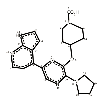 O=C(O)N1CCC(Oc2nc(-c3ccnc4[nH]ccc34)cnc2N2CCCC2)CC1